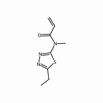 C=CC(=O)N(C)c1nnc(CC)s1